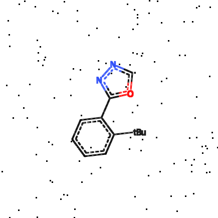 CC(C)(C)c1ccccc1-c1nn[c]o1